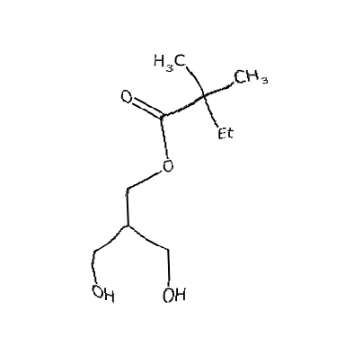 CCC(C)(C)C(=O)OCC(CO)CO